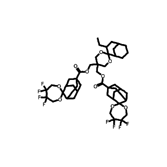 CCC1CC2CCCC(C2)C12OCC(COC(=O)C13CC4CC(C1)C1(OCC(F)(F)C(F)(F)CO1)C(C4)C3)(COC(=O)C13CC4CC(C1)C1(OCC(F)(F)C(F)(F)CO1)C(C4)C3)CO2